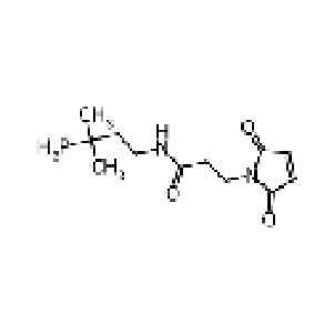 CC(C)(P)CCNC(=O)CCN1C(=O)C=CC1=O